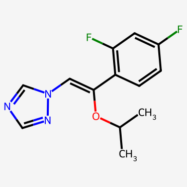 CC(C)OC(=Cn1cncn1)c1ccc(F)cc1F